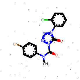 CN(C(=O)n1nnn(-c2ccccc2Cl)c1=O)c1ccc(Br)cc1